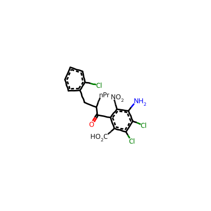 CCCC(Cc1ccccc1Cl)C(=O)c1c(C(=O)O)c(Cl)c(Cl)c(N)c1[N+](=O)[O-]